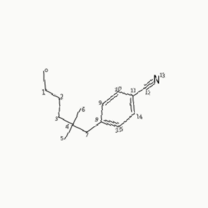 CCCCC(C)(C)Cc1ccc(C#N)cc1